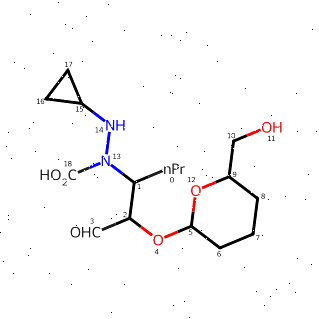 CCCC(C(C=O)OC1CCCC(CO)O1)N(NC1CC1)C(=O)O